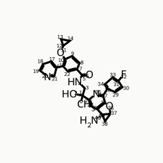 CC(O)(CNC(=O)c1ccc(OC2CC2)c(-c2cccnc2)c1)c1cc2c(c(-c3ccc(F)cc3)n1)OC1C[C@@]21N